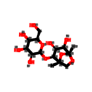 OC[C@H]1O[C@@H](O[C@H]2[C@H](O)[C@@H](O)[C@@H]3OC[C@H]2O3)[C@H](O)[C@@H](O)[C@H]1O